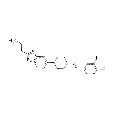 CCCc1cc2ccc(C3CCC(/C=C/c4ccc(F)c(F)c4)CC3)cc2s1